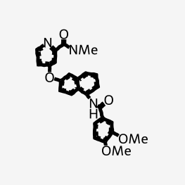 CNC(=O)c1cc(Oc2ccc3c(NC(=O)c4ccc(OC)c(OC)c4)cccc3c2)ccn1